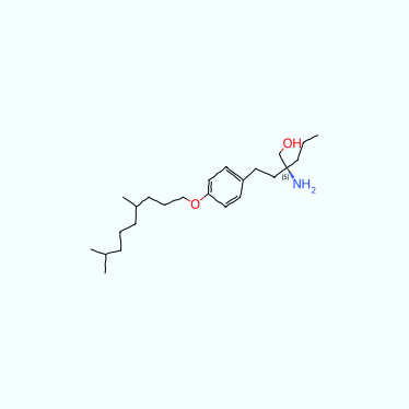 CCC[C@@](N)(CO)CCc1ccc(OCCCC(C)CCCC(C)C)cc1